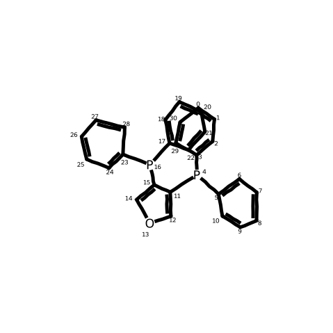 c1ccc(P(c2ccccc2)c2cocc2P(c2ccccc2)c2ccccc2)cc1